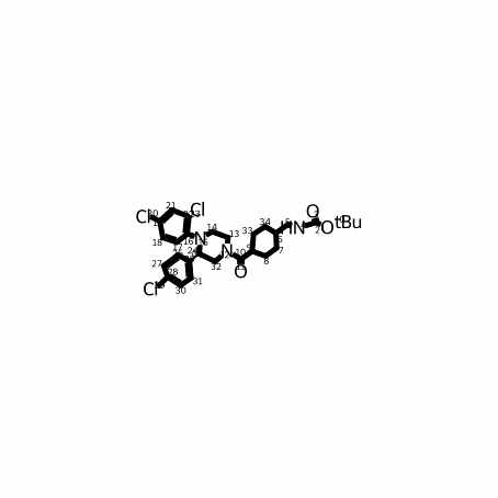 CC(C)(C)OC(=O)NCC1CCC(C(=O)N2CCN(c3ccc(Cl)cc3Cl)[C@H](c3ccc(Cl)cc3)C2)CC1